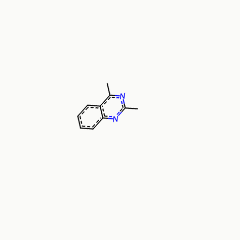 Cc1nc(C)c2ccccc2n1